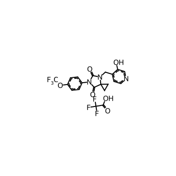 O=C(O)C(F)(F)F.O=C1N(c2ccc(OC(F)(F)F)cc2)C(=O)C2(CC2)N1Cc1ccncc1O